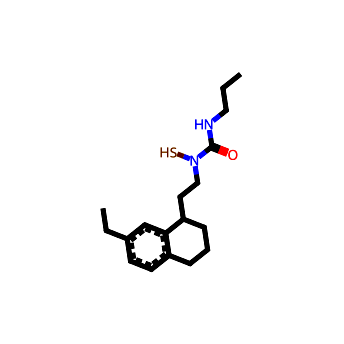 CCCNC(=O)N(S)CCC1CCCc2ccc(CC)cc21